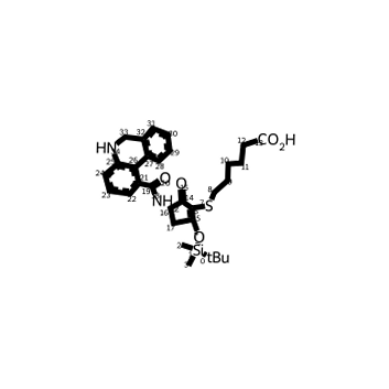 CC(C)(C)[Si](C)(C)OC1=C(SCCCCCC(=O)O)C(=O)CC1.NC(=O)c1cccc2c1-c1ccccc1CN2